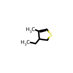 CCC1CSC=C1C